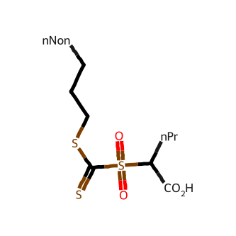 CCCCCCCCCCCCSC(=S)S(=O)(=O)C(CCC)C(=O)O